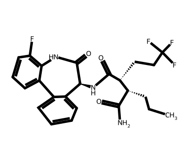 CCC[C@H](C(N)=O)[C@@H](CCC(F)(F)F)C(=O)N[C@@H]1C(=O)Nc2c(F)cccc2-c2ccccc21